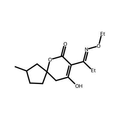 CCON=C(CC)C1=C(O)CC2(CCC(C)C2)OC1=O